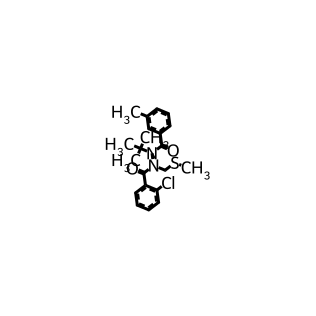 CSCN(C(=O)c1ccccc1Cl)N(C(=O)c1cccc(C)c1)C(C)(C)C